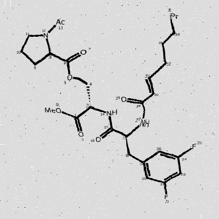 COC(=O)[C@H](COC(=O)C1CCCN1C(C)=O)NC(=O)[C@H](Cc1cc(F)cc(F)c1)NC(=O)/C=C/CCCC(C)C